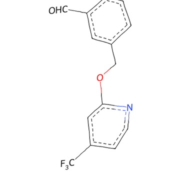 O=Cc1cccc(COc2cc(C(F)(F)F)ccn2)c1